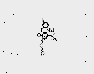 CCOC(=O)c1cn(CCOCCOC)c(=O)cc1Nc1ccc(I)cc1F